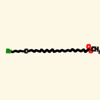 COC(=O)CCCCCCCCCCCCCCCCCCCCCCCCCCCCCBr